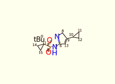 CC(C)(C)C1(S(=O)(=O)NC2=NCC(C3CC3)=C2)CC1